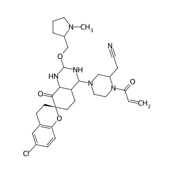 C=CC(=O)N1CCN(C2NC(OCC3CCCN3C)NC3C(=O)[C@]4(CCc5cc(Cl)ccc5O4)CCC32)CC1CC#N